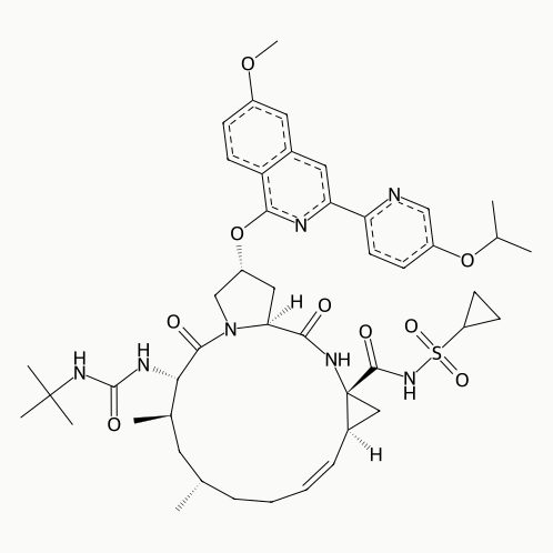 COc1ccc2c(O[C@@H]3C[C@H]4C(=O)N[C@]5(C(=O)NS(=O)(=O)C6CC6)C[C@H]5C=CCC[C@H](C)C[C@@H](C)[C@H](NC(=O)NC(C)(C)C)C(=O)N4C3)nc(-c3ccc(OC(C)C)cn3)cc2c1